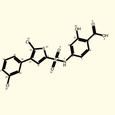 O=C(O)c1ccc(NS(=O)(=O)c2cc(-c3cccc(Cl)c3)c(Cl)s2)cc1O